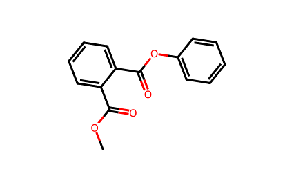 COC(=O)c1ccccc1C(=O)Oc1ccccc1